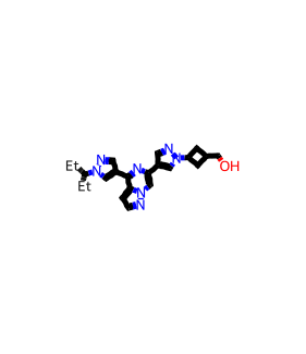 CCC(CC)n1cc(-c2nc(-c3cnn(C4CC(CO)C4)c3)cn3nccc23)cn1